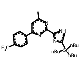 CCC[CH2][Sn]([CH2]CCC)([CH2]CCC)[c]1c[nH]c(-c2nc(C)cc(-c3ccc(C(F)(F)F)cc3)n2)n1